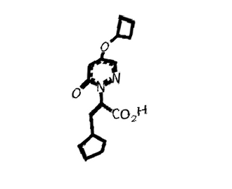 O=C(O)C(CC1CCCC1)n1ncc(OC2CCC2)cc1=O